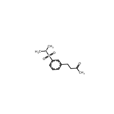 CC(=O)CCc1cccc(S(=O)(=O)N(C)C)c1